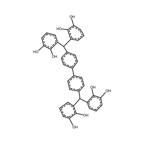 Oc1cccc(C(c2ccc(-c3ccc(C(c4cccc(O)c4O)c4cccc(O)c4O)cc3)cc2)c2cccc(O)c2O)c1O